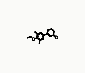 CCOc1c(C)cc(C2=CC(=O)CCC2)cc1C